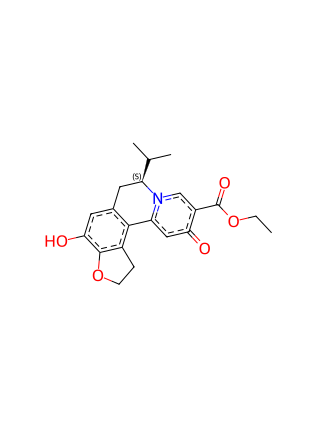 CCOC(=O)c1cn2c(cc1=O)-c1c(cc(O)c3c1CCO3)C[C@H]2C(C)C